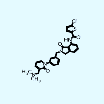 CN(C)Cc1cccn(-c2cccc(CN3Cc4cccc(NC(=O)c5ccc(Cl)s5)c4C3=O)c2)c1=O